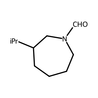 CC(C)C1CCCCN(C=O)C1